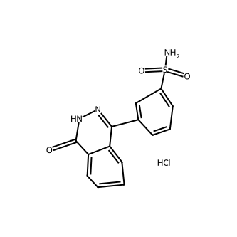 Cl.NS(=O)(=O)c1cccc(-c2n[nH]c(=O)c3ccccc23)c1